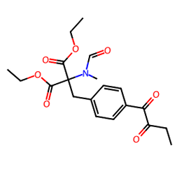 CCOC(=O)C(Cc1ccc(C(=O)C(=O)CC)cc1)(C(=O)OCC)N(C)C=O